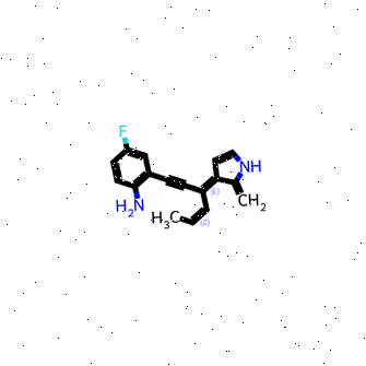 C=c1[nH]cc/c1=C(C#Cc1cc(F)ccc1N)/C=C\C